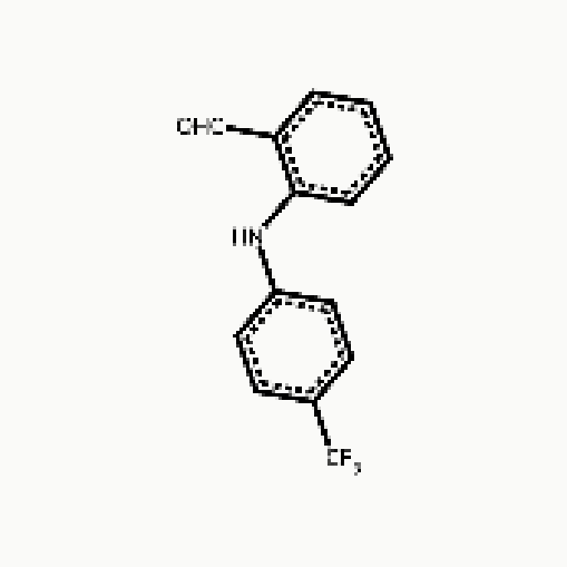 O=Cc1ccccc1Nc1ccc(C(F)(F)F)cc1